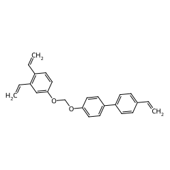 C=Cc1ccc(-c2ccc(OCOc3ccc(C=C)c(C=C)c3)cc2)cc1